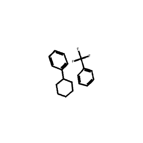 FC(F)(F)c1cc[c]cc1.[c]1ccc(C2CCCCC2)cc1